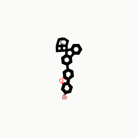 Brc1ccc2c(c1)oc1cc(-c3ccc4c(c3)-c3ccccc3C43C4CC5CC6CC3C64C5)ccc12